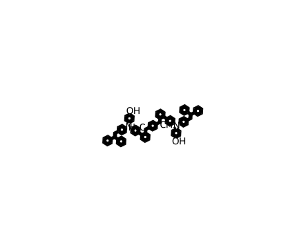 C=C(c1ccc(C(=C)c2ccccc2-c2ccc(N(c3ccc(O)cc3)c3ccc(C=C(c4ccccc4)c4ccccc4)cc3)cc2)cc1)c1ccccc1-c1ccc(N(c2ccc(O)cc2)c2ccc(C=C(c3ccccc3)c3ccccc3)cc2)cc1